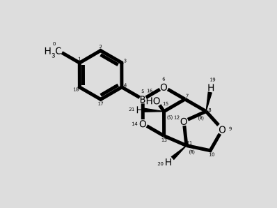 Cc1ccc(B2OC3[C@@H]4OC[C@@H](O4)C(O2)[C@@H]3O)cc1